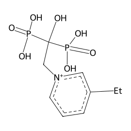 CCc1ccc[n+](CC(O)(P(=O)(O)O)P(=O)(O)O)c1